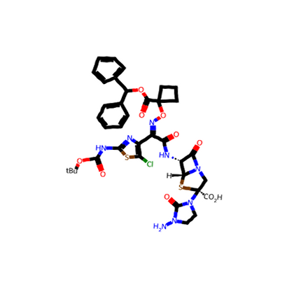 CC(C)(C)OC(=O)Nc1nc(/C(=N/OC2(C(=O)OC(c3ccccc3)c3ccccc3)CCC2)C(=O)N[C@@H]2C(=O)N3C[C@@](C(=O)O)(N4CCN(N)C4=O)S[C@H]23)c(Cl)s1